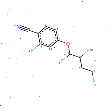 N#Cc1ccc(OC(F)C(F)CCF)cc1F